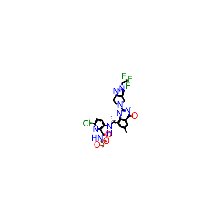 Cc1cc([C@@H](C)Nc2ccc(Cl)nc2C(=O)NS(C)(=O)=O)c2nc(N3CCc4nn(CC(F)(F)F)cc4C3)n(C)c(=O)c2c1